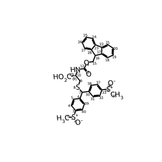 C[S+]([O-])c1ccc(C(SC[C@H](NC(=O)OCC2c3ccccc3-c3ccccc32)C(=O)O)c2ccc([S+](C)[O-])cc2)cc1